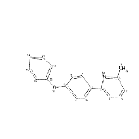 Cc1cccc(-c2ccc(Oc3ccccc3)cc2)n1